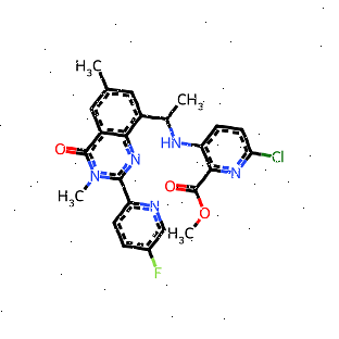 COC(=O)c1nc(Cl)ccc1NC(C)c1cc(C)cc2c(=O)n(C)c(-c3ccc(F)cn3)nc12